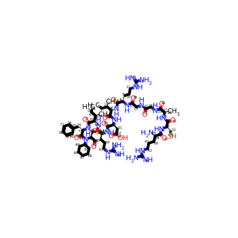 CC[C@H](C)[C@H](NC(=O)[C@H](CCCNC(=N)N)NC(=O)CNC(=O)CNC(=O)[C@H](C)NC(=O)[C@H](CS)NC(=O)[C@@H](N)CCCNC(=N)N)C(=O)N[C@@H](CC(=O)O)C(=O)N[C@@H](CCCNC(=N)N)C(=O)N[C@H](C(=O)N[C@@H](Cc1ccccc1)C(=O)N(C1CCCCC1)[C@H]([C]=O)CS)[C@@H](C)CC